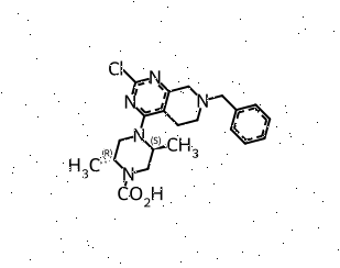 C[C@@H]1CN(c2nc(Cl)nc3c2CCN(Cc2ccccc2)C3)[C@@H](C)CN1C(=O)O